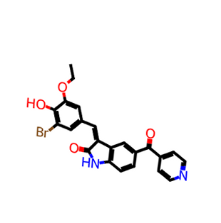 CCOc1cc(C=C2C(=O)Nc3ccc(C(=O)c4ccncc4)cc32)cc(Br)c1O